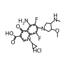 CNC1CN(c2c(F)c(N)c3c(=O)c(C(=O)O)cn(C4CC4)c3c2F)CC1OC.Cl